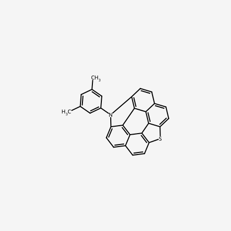 Cc1cc(C)cc(-n2c3ccc4ccc5sc6ccc7ccc2c2c7c6c5c4c23)c1